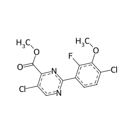 COC(=O)c1nc(-c2ccc(Cl)c(OC)c2F)ncc1Cl